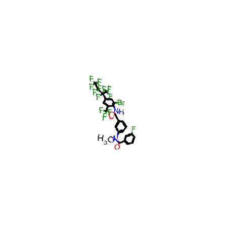 CN(C(=O)c1cccc(F)c1)c1cccc(C(=O)Nc2c(Br)cc(C(F)(C(F)(F)F)C(F)(F)C(F)(F)F)cc2C(F)(F)F)c1